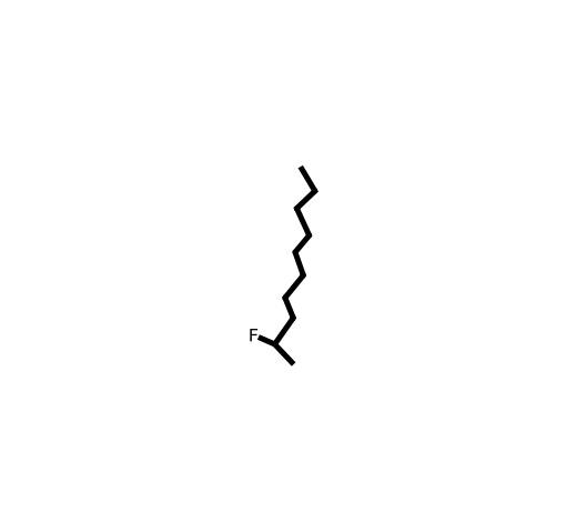 CCCCCCCCC(C)F